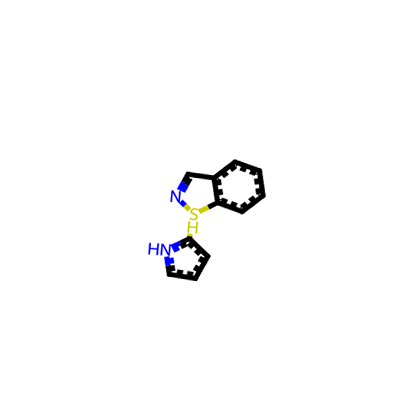 C1=N[SH](c2ccc[nH]2)c2ccccc21